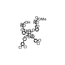 COC(=O)c1nnc(-c2cc3c(OCC(O)C([C@H](Oc4cccc5oc(-c6nnc(CO)o6)cc45)[C@@H](O)CN4CCC(c5ccc(Cl)c(Cl)c5)CC4)N4CCC(c5ccc(Cl)c(Cl)c5)CC4)cccc3o2)o1